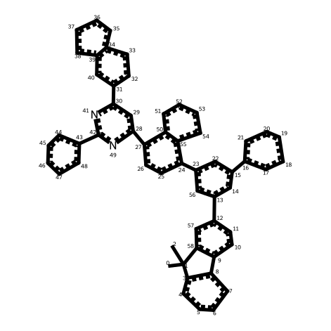 CC1(C)c2ccccc2-c2ccc(-c3cc(-c4ccccc4)cc(-c4ccc(-c5cc(-c6ccc7ccccc7c6)nc(-c6ccccc6)n5)c5ccccc45)c3)cc21